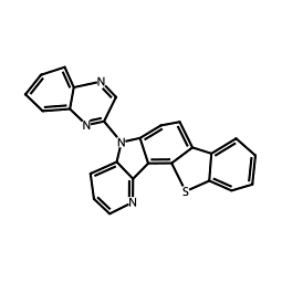 c1ccc2nc(-n3c4cccnc4c4c5sc6ccccc6c5ccc43)cnc2c1